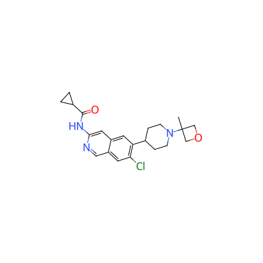 CC1(N2CCC(c3cc4cc(NC(=O)C5CC5)ncc4cc3Cl)CC2)COC1